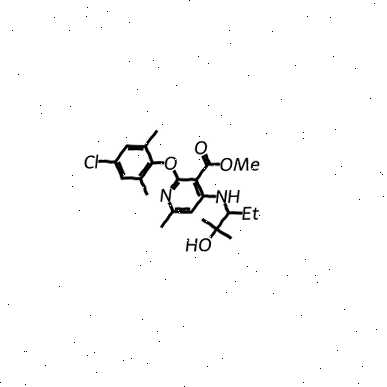 CCC(Nc1cc(C)nc(Oc2c(C)cc(Cl)cc2C)c1C(=O)OC)C(C)(C)O